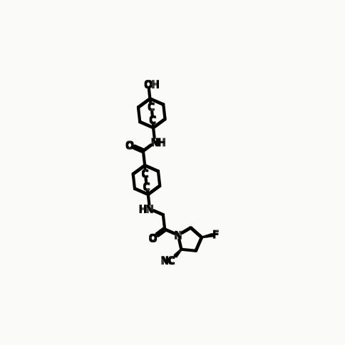 N#C[C@@H]1C[C@H](F)CN1C(=O)CNC12CCC(C(=O)NC34CCC(O)(CC3)CC4)(CC1)CC2